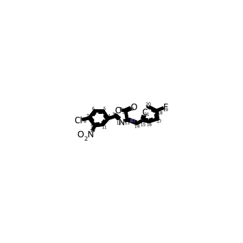 O=C1OC(c2ccc(Cl)c([N+](=O)[O-])c2)=N/C1=C/c1ccc(F)cc1